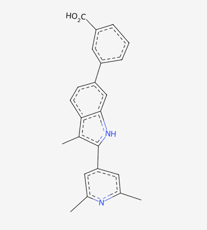 Cc1cc(-c2[nH]c3cc(-c4cccc(C(=O)O)c4)ccc3c2C)cc(C)n1